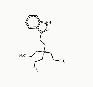 CCC[N+](CCC)(CCC)CCc1c[nH]c2ccccc12